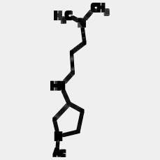 CC(=O)N1CCC(NCCCN(C)C)C1